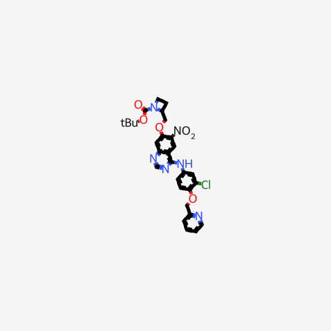 CC(C)(C)OC(=O)N1CCC1COc1cc2ncnc(Nc3ccc(OCc4ccccn4)c(Cl)c3)c2cc1[N+](=O)[O-]